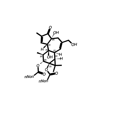 CCCCCCCCCC(=O)O[C@@H]1[C@@H](C)[C@@]2(O)[C@@H](C=C(CO)C[C@]3(O)C(=O)C(C)=C[C@@H]23)[C@H]2C(C)(C)[C@]12OC(=O)CCCCCCCCC